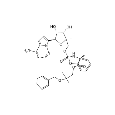 C[C@H](NP(=O)(OC[C@@]1(C)O[C@@H](c2ccc3c(N)ncnn23)[C@H](O)[C@@H]1O)Oc1ccccc1)C(=O)OCC(C)(C)OCc1ccccc1